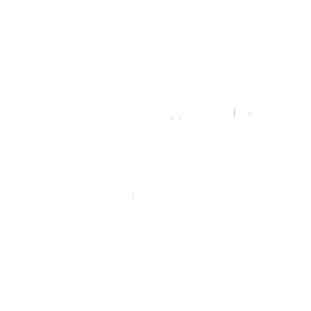 CCCCCC1COC(c2cc(F)c(C#CC(F)(F)F)c(F)c2)OC1